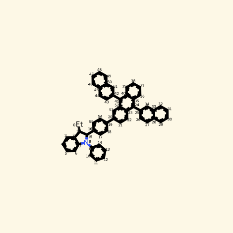 CCC1c2ccccc2N(c2ccccc2)C1c1ccc(-c2ccc3c(-c4ccc5ccccc5c4)c4ccccc4c(-c4ccc5ccccc5c4)c3c2)cc1